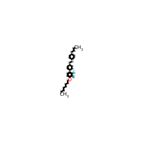 CCCCCCCCOc1ccc([C@H]2CC[C@H](CC[C@H]3CC[C@H](CCCC)CC3)CC2)c(F)c1F